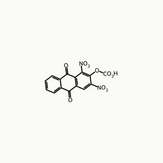 O=C(O)Oc1c([N+](=O)[O-])cc2c(c1[N+](=O)[O-])C(=O)c1ccccc1C2=O